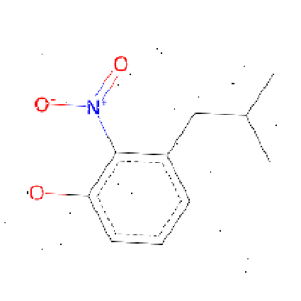 CC(C)Cc1cccc([O])c1[N+](=O)[O-]